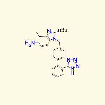 CCCCc1nc2c(C)c(N)ccc2n1Cc1ccc(-c2ccccc2-c2nnn[nH]2)cc1